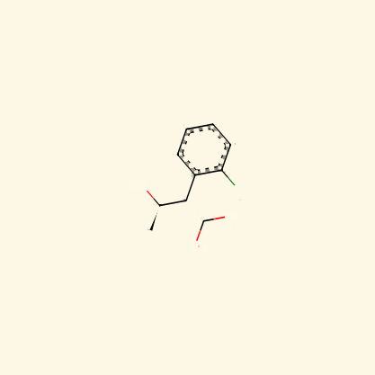 C[C@@H](O)[C@H](c1ccccc1Cl)C(O)O